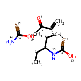 C=CC(C)=O.CCC(CC)NC(O)=S.NC(O)=S